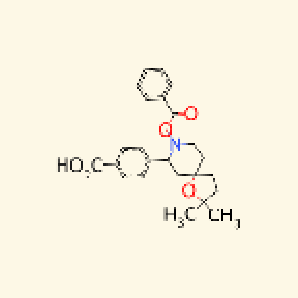 CC1(C)CCC2(CCN(OC(=O)c3ccccc3)C(c3ccc(C(=O)O)cc3)C2)O1